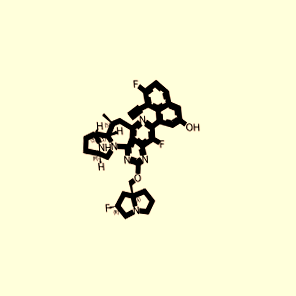 C#Cc1c(F)ccc2cc(O)cc(-c3nc4c5c(nc(OC[C@@]67CCCN6C[C@H](F)C7)nc5c3F)N3C[C@H]5CC[C@H](N5)[C@@H]3[C@@H](C)C4)c12